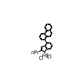 CCCC1=Cc2c(-c3cccc4c3ccc3ccccc34)cccc2[CH]1[Hf]([Cl])[Cl]